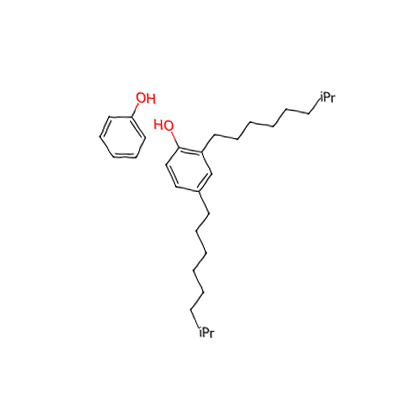 CC(C)CCCCCCc1ccc(O)c(CCCCCCC(C)C)c1.Oc1ccccc1